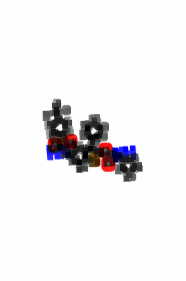 CC(C)(C)c1ccc(S(=O)(=O)Nc2ccc3sc(OC(=O)NC4CCCC4)c(-c4ccccc4)c3c2)cc1